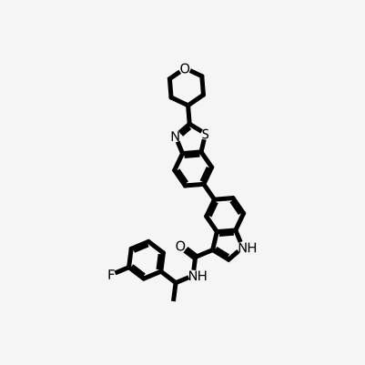 CC(NC(=O)c1c[nH]c2ccc(-c3ccc4nc(C5CCOCC5)sc4c3)cc12)c1cccc(F)c1